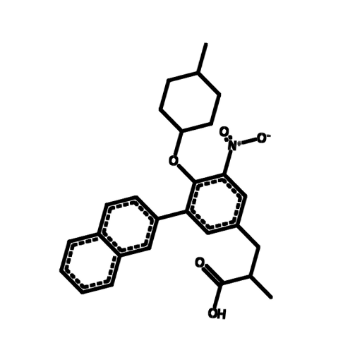 CC1CCC(Oc2c(-c3ccc4ccccc4c3)cc(CC(C)C(=O)O)cc2[N+](=O)[O-])CC1